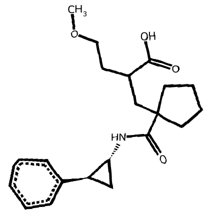 COCCC(CC1(C(=O)N[C@@H]2C[C@H]2c2ccccc2)CCCC1)C(=O)O